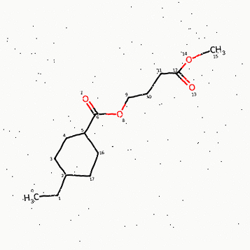 CCC1CCC(C(=O)OCCCC(=O)OC)CC1